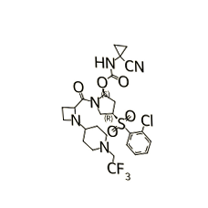 N#CC1(NC(=O)O[C@H]2C[C@@H](S(=O)(=O)c3ccccc3Cl)CN2C(=O)C2CCN2C2CCN(CC(F)(F)F)CC2)CC1